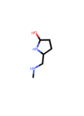 CNCC1CCC(O)N1